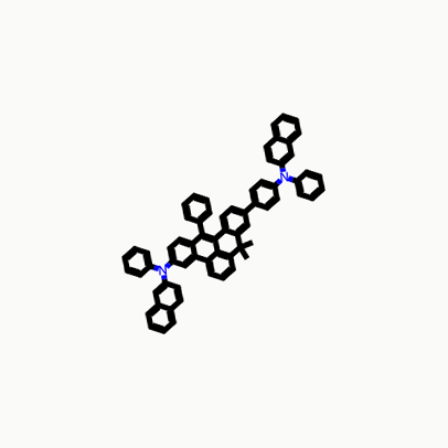 CC1(C)c2cc(-c3ccc(N(c4ccccc4)c4ccc5ccccc5c4)cc3)ccc2-c2c(-c3ccccc3)c3ccc(N(c4ccccc4)c4ccc5ccccc5c4)cc3c3cccc1c23